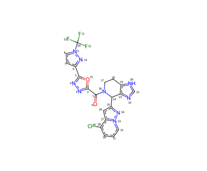 O=C(c1nnc(-c2ccn(C(F)(F)F)n2)o1)N1CCc2[nH]cnc2C1c1cc2c(Cl)cccn2n1